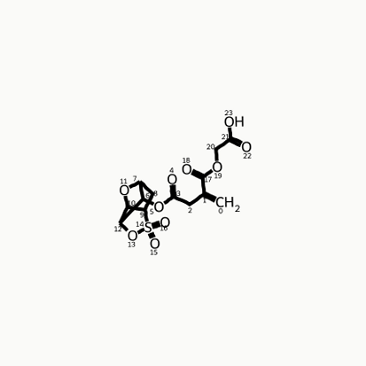 C=C(CC(=O)OC1C2CC3C(O2)C1OS3(=O)=O)C(=O)OCC(=O)O